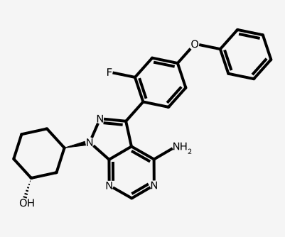 Nc1ncnc2c1c(-c1ccc(Oc3ccccc3)cc1F)nn2[C@@H]1CCC[C@@H](O)C1